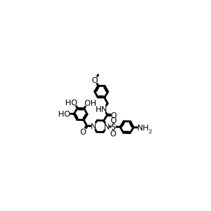 COc1ccc(CNC(=O)C2CN(C(=O)c3cc(O)c(O)c(O)c3)CCN2S(=O)(=O)c2ccc(N)cc2)cc1